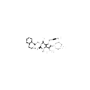 CC#CCn1c(N2CCCNCC2)c(C#N)c2c1c(=O)n(Cc1c3ccccc3cc[n+]1[O-])c(=O)n2C